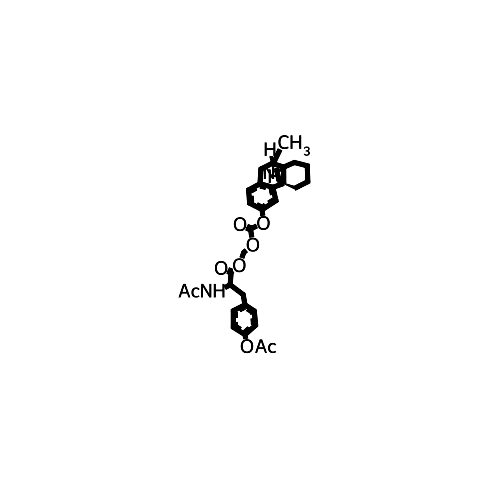 CC(=O)NC(Cc1ccc(OC(C)=O)cc1)C(=O)OCOC(=O)Oc1ccc2c(c1)[C@@]13CCCC[C@H]1[C@@H](C2)N(C)CC3